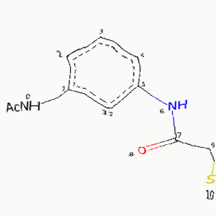 CC(=O)Nc1cccc(NC(=O)CS)c1